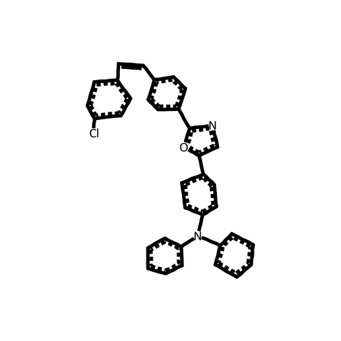 Clc1ccc(/C=C\c2ccc(-c3ncc(-c4ccc(N(c5ccccc5)c5ccccc5)cc4)o3)cc2)cc1